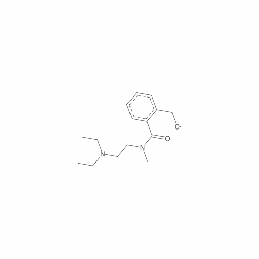 CCN(CC)CCN(C)C(=O)c1ccccc1C[O]